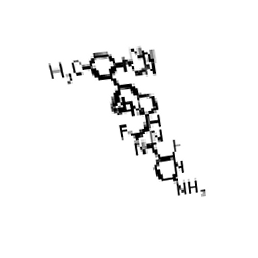 C/C=C(\C=C1\CCC(c2[nH]c(-c3ccc(N)nc3F)nc2F)N1C=O)c1cc(C)ccc1-n1cnnn1